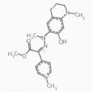 COC(=O)/C(=N\N(C)c1cc2c(cc1O)N(C)CCC2)c1cc[n+](C)cc1